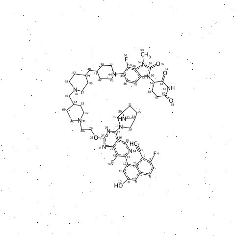 C#Cc1c(F)ccc2cc(O)cc(-c3ncc4c(N5CC6CCC(C5)N6)nc(OCCN5CCC(CN6CCC(CC7CCN(c8ccc9c(c8F)n(C)c(=O)n9C8CCC(=O)NC8=O)CC7)CC6)CC5)nc4c3F)c12